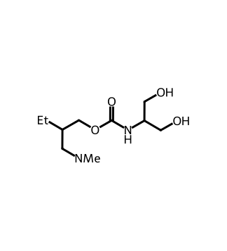 CCC(CNC)COC(=O)NC(CO)CO